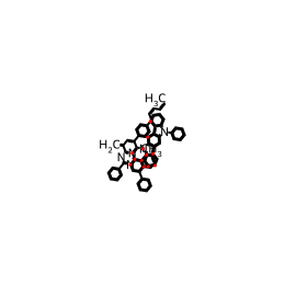 C=C(/C=C(\C(=C\c1ccc(-c2ccccc2)cc1)n1c2ccccc2c2cc3c(cc21)c1ccccc1n3-c1ccccc1)c1ccc(C/C=C\C=C/C)cc1)c1nc(-c2ccccc2)nc(C2C=CC=C[C@@H]2C)n1